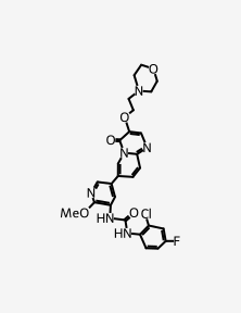 COc1ncc(-c2ccc3ncc(OCCN4CCOCC4)c(=O)n3c2)cc1NC(=O)Nc1ccc(F)cc1Cl